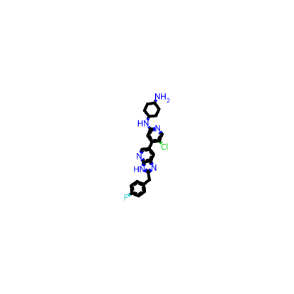 NC1CCC(Nc2cc(-c3cnc4[nH]c(Cc5ccc(F)cc5)nc4c3)c(Cl)cn2)CC1